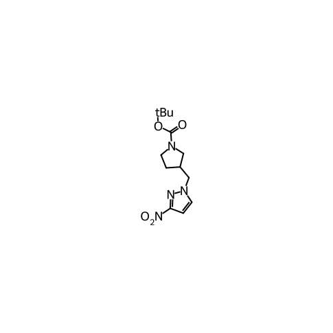 CC(C)(C)OC(=O)N1CCC(Cn2ccc([N+](=O)[O-])n2)C1